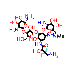 CNC[C@H]1O[C@H](O[C@H]2[C@H](O[C@@H]3O[C@H](CO)[C@@H](O[C@H]4O[C@@H](CN)[C@@H](O)[C@H](O)[C@H]4N)[C@H]3O)[C@@H](O)[C@H](NC(=O)C(O)C(F)(F)CN)C[C@@H]2N)[C@H](N)[C@@H](O)[C@@H]1O